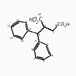 O=C(O)CC([C](c1ccccc1)c1ccccc1)C(=O)O